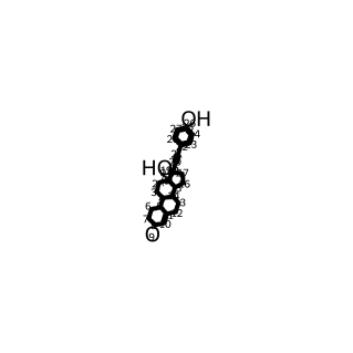 C[C@]12CCC3C4CCC(=O)C=C4CCC3C1CC[C@@]2(O)C#Cc1ccc(O)cc1